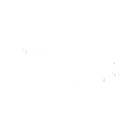 C1=Cc2c(c3ccccc3n2-c2cccc3c2sc2ccc(-c4ccc5oc6cc(C7=NC(c8ccccc8)N[C@H](c8ccccc8)C7)ccc6c5c4)cc23)CC1